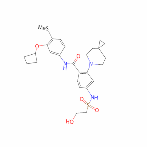 CSc1ccc(NC(=O)c2ccc(NS(=O)(=O)CCO)cc2N2CCC3(CC2)CC3)cc1OC1CCC1